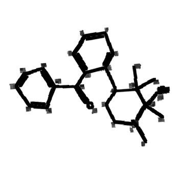 CN1CCC(c2ccccc2C(=O)c2ccccc2)C(C)(C)C1(C)C(C)(C)C